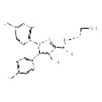 Cc1c(C(O)NCCN)nn(-c2ccc(Cl)cc2Cl)c1-c1ccc(Cl)cc1